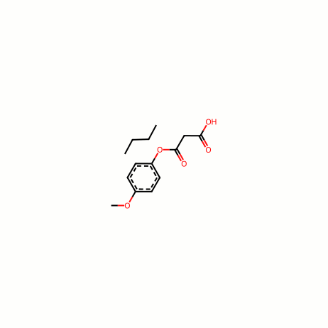 CCCC.COc1ccc(OC(=O)CC(=O)O)cc1